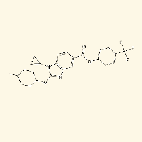 CC1CCC(Oc2nc3cc(C(=O)OC4CCC(C(F)(F)F)CC4)ccc3n2C2CC2)CC1